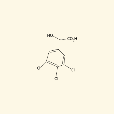 Clc1cccc(Cl)c1Cl.O=C(O)CO